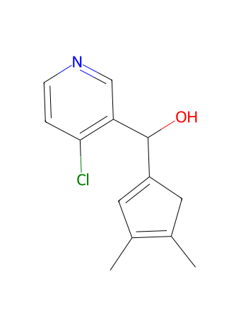 CC1=C(C)CC(C(O)c2cnccc2Cl)=C1